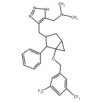 CN(C)Cc1[nH]nnc1CN1CC2CC2(OCc2cc(C(F)(F)F)cc(C(F)(F)F)c2)C1c1ccccc1